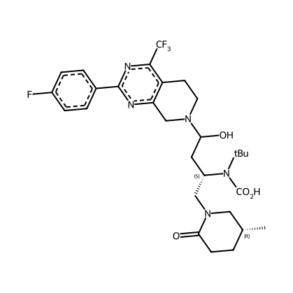 C[C@@H]1CCC(=O)N(C[C@H](CC(O)N2CCc3c(nc(-c4ccc(F)cc4)nc3C(F)(F)F)C2)N(C(=O)O)C(C)(C)C)C1